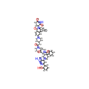 CN(C(=O)c1ccc(N2CCC(CC(=O)N3CCOC4(CCN(C(=O)C5(c6ccccc6)CCN(c6cc(-c7ccccc7O)nnc6N)CC5)CC4)C3)CC2)cc1C=O)C1CCC(=O)NC1=O